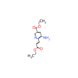 CCOC(=O)/C=C/c1ncc(C(=O)OCC)cc1N